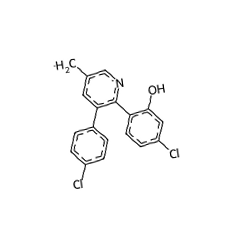 [CH2]c1cnc(-c2ccc(Cl)cc2O)c(-c2ccc(Cl)cc2)c1